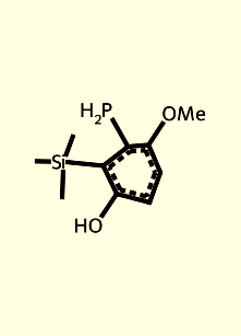 COc1ccc(O)c([Si](C)(C)C)c1P